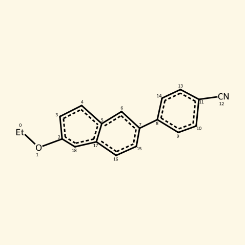 CCOc1ccc2cc(-c3ccc(C#N)cc3)ccc2c1